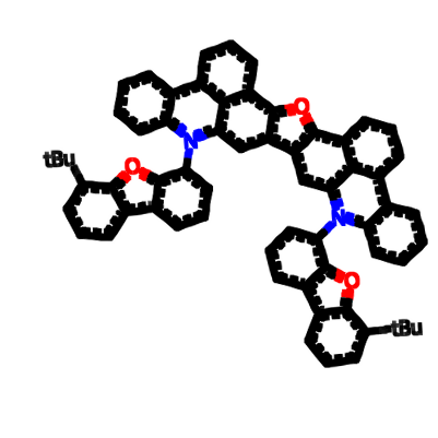 CC(C)(C)c1cccc2c1oc1c(-n3c4ccccc4c4cccc5c6oc7c(cc8c9c(cccc79)c7ccccc7n8-c7cccc8c7oc7c(C(C)(C)C)cccc78)c6cc3c45)cccc12